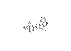 COc1cncnc1N1CCN(C(=O)OC(C)(C)C)C[C@@H]1C